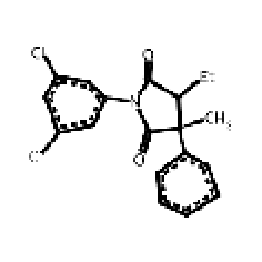 CCC1C(=O)N(c2cc(Cl)cc(Cl)c2)C(=O)[C@@]1(C)c1ccccc1